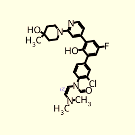 CN(C)/C=C\N(C=O)c1ccc(-c2cc(F)cc(-c3ccnc(N4CCC(C)(O)CC4)c3)c2O)cc1Cl